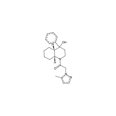 Cc1ccnn1CC(=O)N1CCC(O)(c2ccccc2)[C@H]2CCCC[C@H]21